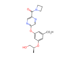 C[C@@H](CO)Oc1cc(Oc2cnc(C(=O)N3CCC3)cn2)cc(C(=O)O)c1